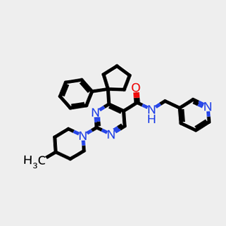 CC1CCN(c2ncc(C(=O)NCc3cccnc3)c(C3(c4ccccc4)CCCC3)n2)CC1